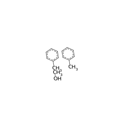 CO.Cc1ccccc1.Cc1ccccc1